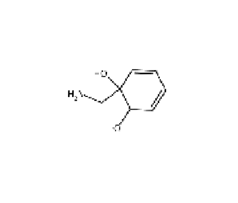 NCC1(O)C=CC=CC1[O]